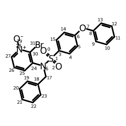 O=S(=O)(c1ccc(Oc2ccccc2)cc1)N(Cc1ccccc1)c1ccc[n+]([O-])c1Br